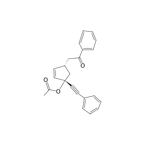 CC(=O)O[C@]1(C#Cc2ccccc2)C=C[C@H](CC(=O)c2ccccc2)C1